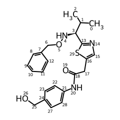 CC(C)[C@H](NOCc1ccccc1)c1ncc(CC(=O)Nc2ccc(CO)cc2)s1